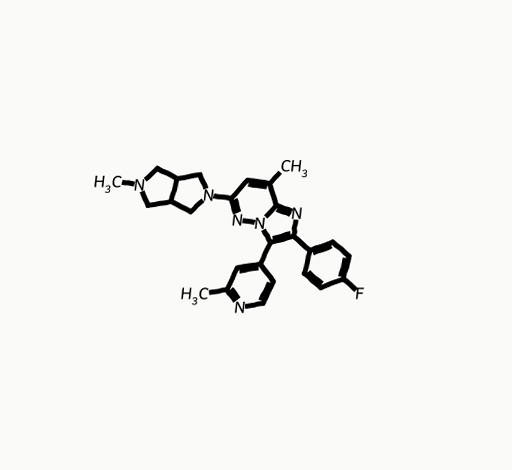 Cc1cc(-c2c(-c3ccc(F)cc3)nc3c(C)cc(N4CC5CN(C)CC5C4)nn23)ccn1